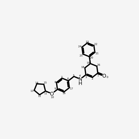 O=C1C=C(NCc2ccc(OC3CCCC3)cc2)CC(c2ccccc2)C1